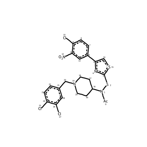 CC(=O)N(Sc1nc(-c2ccc(Cl)c([N+](=O)[O-])c2)cs1)C1CCN(Cc2ccc(Cl)c(Cl)c2)CC1